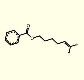 O=C(OCCCCC=C(F)F)c1ccccc1